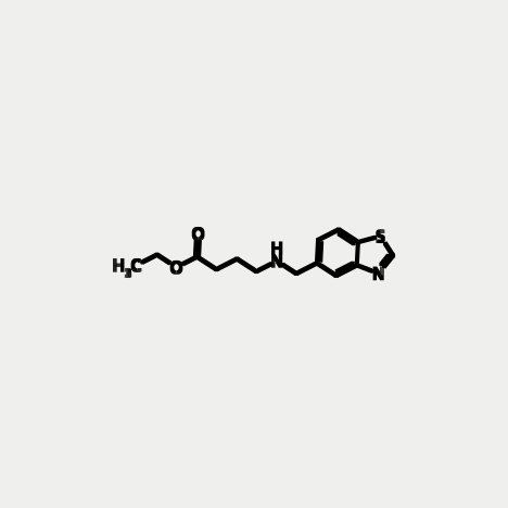 CCOC(=O)CCCNCc1ccc2scnc2c1